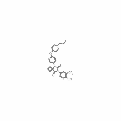 N#Cc1ncc(N2C(=O)C3(CCC3)N(c3ccc(OC4CCN(CCF)CC4)nc3)C2=S)cc1C(F)(F)F